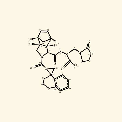 NC(=O)[C@H](C[C@@H]1CCNC1=O)NC(=O)[C@@H]1[C@@H]2[C@H](CN1C(=O)[C@H]1C[C@@]13CCCc1ccccc13)[C@@H]1C=C[C@H]2C1